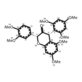 COc1cc(OC)c([C@H]2C(=O)[C@@H](c3ccc(OC)c(OC)c3)Oc3cc(OC)cc(OC)c32)c(OC)c1